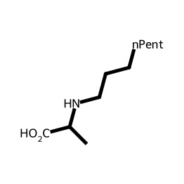 CCCCCCCCNC(C)C(=O)O